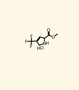 COC(=O)C1C=C(C(F)(F)F)CN1.Cl